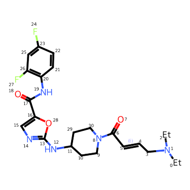 CCN(CC)C/C=C/C(=O)N1CCC(Nc2ncc(C(=O)Nc3ccc(F)cc3F)o2)CC1